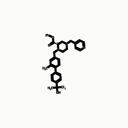 Cc1cc(CN2CCN(Cc3ccncc3)C[C@H]2C(=O)OC(C)C)ccc1-c1ccc(C(C)(O)C(F)(F)F)cc1